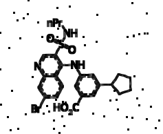 CCCNS(=O)(=O)c1cnc2cc(Br)ccc2c1Nc1cc(C(=O)O)cc(C2CCCC2)c1